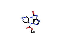 CC(C)(C)OC(=O)N(c1ncnc2[nH]c(=O)[nH]c12)C1CCNCC1